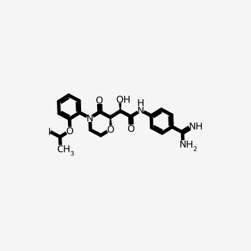 CC(I)Oc1ccccc1N1CCO[C@H]([C@@H](O)C(=O)Nc2ccc(C(=N)N)cc2)C1=O